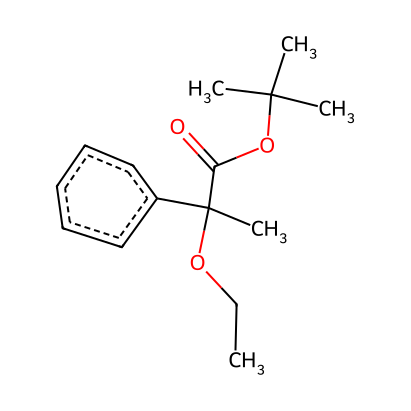 CCOC(C)(C(=O)OC(C)(C)C)c1ccccc1